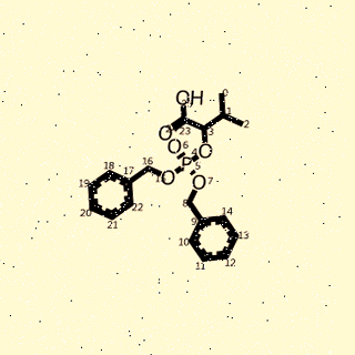 CC(C)C(OP(=O)(OCc1ccccc1)OCc1ccccc1)C(=O)O